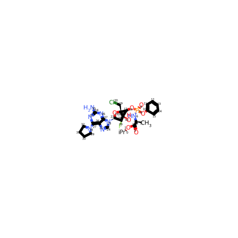 CC(C)OC(=O)[C@H](C)N[P@@](=O)(Oc1ccccc1)OC1[C@@]2(CCl)O[C@@H](n3cnc4c(N5CCCC5)nc(N)nc43)[C@H](F)[C@@]12O